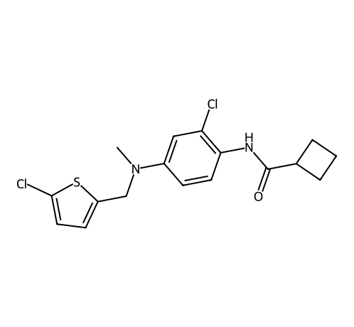 CN(Cc1ccc(Cl)s1)c1ccc(NC(=O)C2CCC2)c(Cl)c1